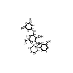 CC(C)c1cccc(C2(NCC(O)C(Cc3cc(F)cc(F)c3)NC(=O)CF)CCCCC2)c1